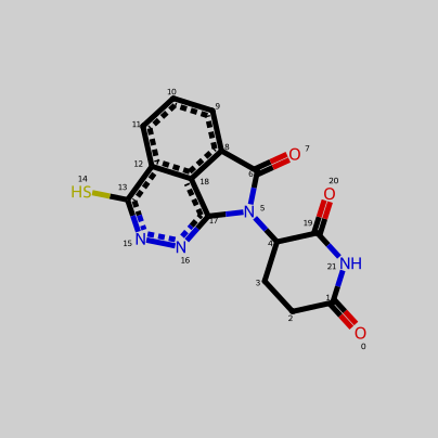 O=C1CCC(N2C(=O)c3cccc4c(S)nnc2c34)C(=O)N1